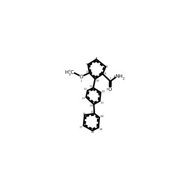 COc1cc[c]c(C(N)=O)c1-c1ccc(-c2ccccc2)cc1